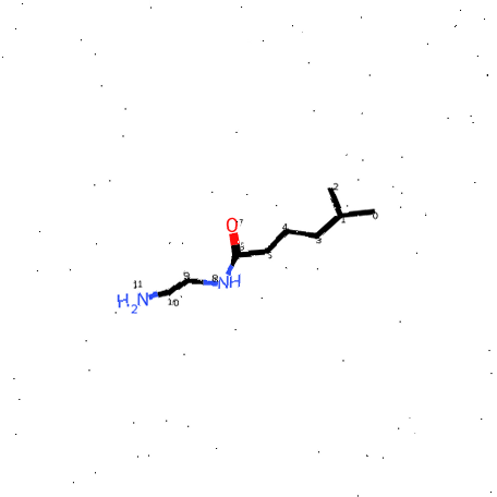 CC(C)CCCC(=O)NCCN